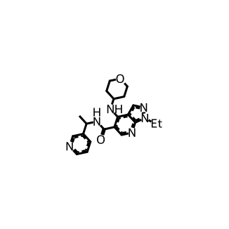 CCn1ncc2c(NC3CCOCC3)c(C(=O)NC(C)c3cccnc3)cnc21